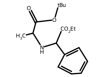 CCOC(=O)C(NC(C)C(=O)OC(C)(C)C)c1ccccc1